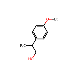 CCOc1ccc(C(CO)C(F)(F)F)cc1